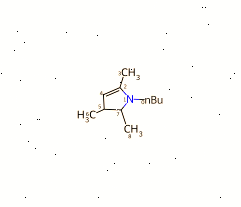 CCCCN1C(C)=CC(C)C1C